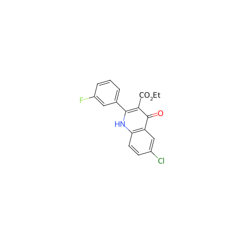 CCOC(=O)c1c(-c2cccc(F)c2)[nH]c2ccc(Cl)cc2c1=O